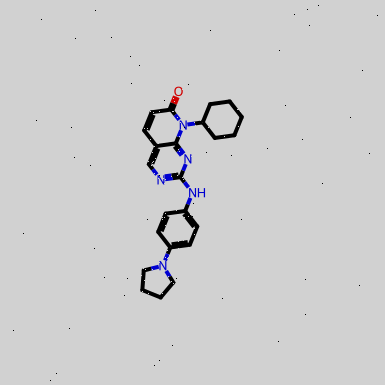 O=c1ccc2cnc(Nc3ccc(N4CCCC4)cc3)nc2n1C1CCCCC1